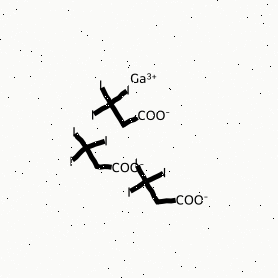 O=C([O-])CC(I)(I)I.O=C([O-])CC(I)(I)I.O=C([O-])CC(I)(I)I.[Ga+3]